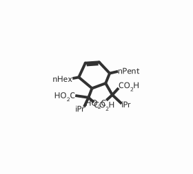 CCCCCCC1C=CC(CCCCC)C(C(C(=O)O)(C(=O)O)C(C)C)C1C(C(=O)O)(C(=O)O)C(C)C